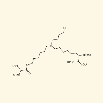 CCCCCCCCC(CCCCCC)C(=O)OCCCCCCN(CCCCO)CCCCCCC(CCCCC)C(CCCCCCCC)C(=O)O